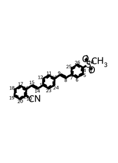 CS(=O)(=O)c1ccc(/C=C/c2ccc(/C=C/c3ccccc3C#N)cc2)cc1